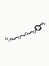 CC(C)c1ccc(OCCOCCOCCN)cc1